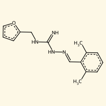 Cc1cccc(C)c1/C=N/NC(=N)NCc1ccco1